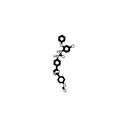 O=COC1CCC(c2ncc(-c3ccc(NC(=O)Nc4ccc(Cl)cc4Oc4ccccc4)cc3)s2)CC1